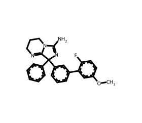 COc1ccc(F)c(-c2cccc(C3(c4cc[c]cc4)N=C(N)N4CCCN=C43)c2)c1